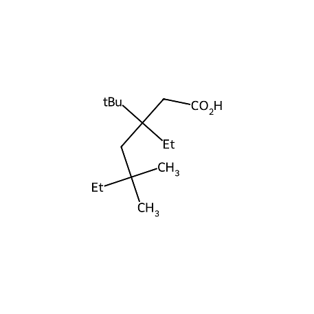 CCC(C)(C)CC(CC)(CC(=O)O)C(C)(C)C